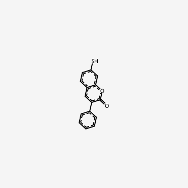 O=c1oc2cc(S)ccc2cc1-c1ccccc1